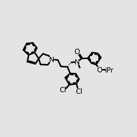 CC(C)Oc1cccc(C(=O)N(C)C[C@@H](CCN2CCC3(C=Cc4ccccc43)CC2)c2ccc(Cl)c(Cl)c2)c1